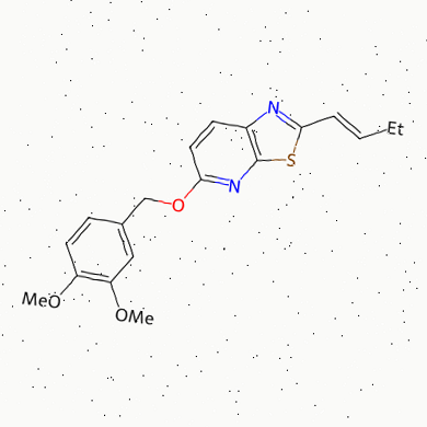 CCC=Cc1nc2ccc(OCc3ccc(OC)c(OC)c3)nc2s1